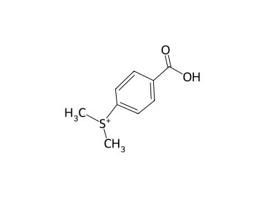 C[S+](C)c1ccc(C(=O)O)cc1